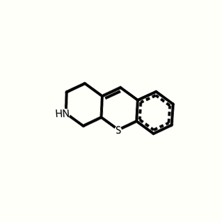 C1=C2CCNCC2Sc2ccccc21